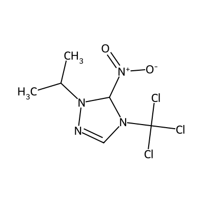 CC(C)N1N=CN(C(Cl)(Cl)Cl)C1[N+](=O)[O-]